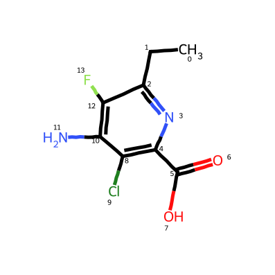 CCc1nc(C(=O)O)c(Cl)c(N)c1F